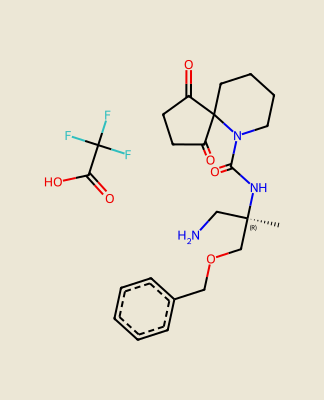 C[C@@](CN)(COCc1ccccc1)NC(=O)N1CCCCC12C(=O)CCC2=O.O=C(O)C(F)(F)F